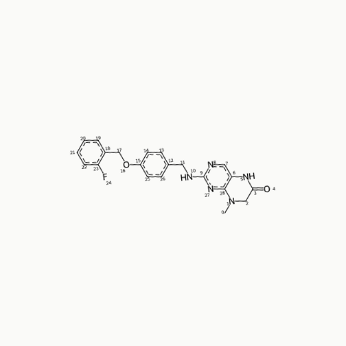 CN1CC(=O)Nc2cnc(NCc3ccc(OCc4ccccc4F)cc3)nc21